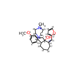 COc1cccc(CC2(O)/C(=C\c3ccco3)CCCCC2CN2CCN(C)CC2)c1